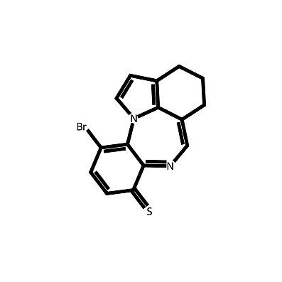 S=c1ccc(Br)c2n3ccc4c3c(cnc1-2)CCC4